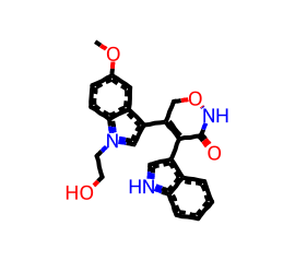 COc1ccc2c(c1)c(C1=C(c3c[nH]c4ccccc34)C(=O)NOC1)cn2CCO